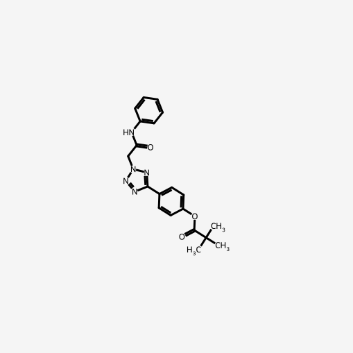 CC(C)(C)C(=O)Oc1ccc(-c2nnn(CC(=O)Nc3ccccc3)n2)cc1